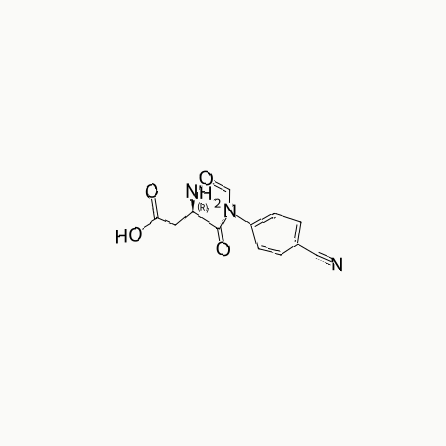 N#Cc1ccc(N(C=O)C(=O)[C@H](N)CC(=O)O)cc1